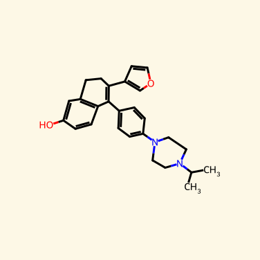 CC(C)N1CCN(c2ccc(C3=C(c4ccoc4)CCc4cc(O)ccc43)cc2)CC1